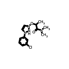 CC(ON1C=CN(c2cccc(Cl)c2)N1)C(=O)N(C)C